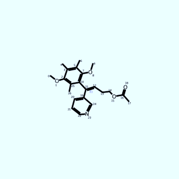 COc1c(C)c(C)c(OC)c(/C(=C/CCOC(C)=O)c2cccnc2)c1C